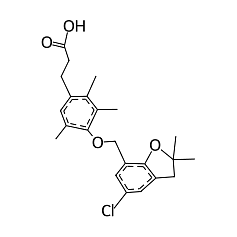 Cc1cc(CCC(=O)O)c(C)c(C)c1OCc1cc(Cl)cc2c1OC(C)(C)C2